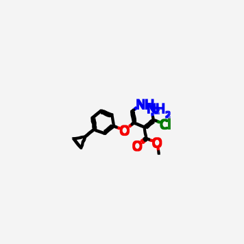 COC(=O)C(=C(/N)Cl)/C(=C\N)Oc1cccc(C2CC2)c1